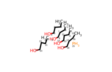 CCCCO.CCCCO.CCCCO.CCCCO.CCCCO.P